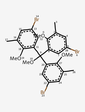 COc1c(C)cc(Br)cc1C(OC)(c1cc(Br)cc(C)c1OC)c1cc(Br)cc(C)c1OC